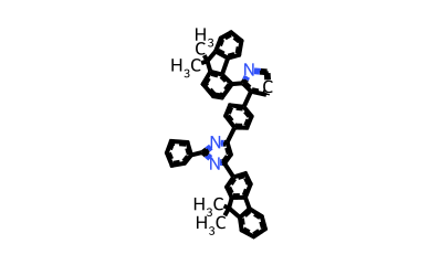 CC1(C)c2ccccc2-c2ccc(-c3cc(-c4ccc(-c5cccnc5-c5cccc6c5-c5ccccc5C6(C)C)cc4)nc(-c4ccccc4)n3)cc21